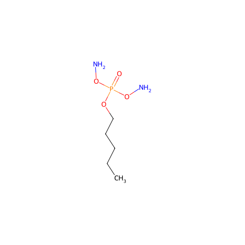 CCCCCOP(=O)(ON)ON